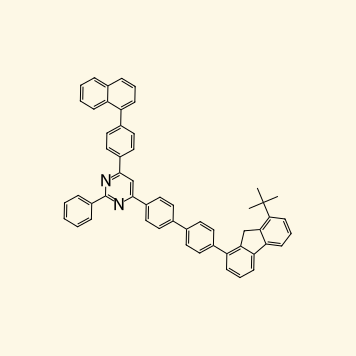 CC(C)(C)c1cccc2c1Cc1c(-c3ccc(-c4ccc(-c5cc(-c6ccc(-c7cccc8ccccc78)cc6)nc(-c6ccccc6)n5)cc4)cc3)cccc1-2